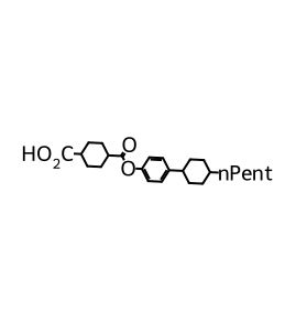 CCCCCC1CCC(c2ccc(OC(=O)C3CCC(C(=O)O)CC3)cc2)CC1